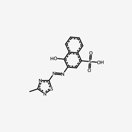 Cc1nsc(N=Nc2cc(S(=O)(=O)O)c3ccccc3c2O)n1